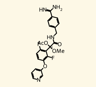 CO[C@@](OC(C)=O)(C(=O)NCc1ccc(C(=N)N)cc1)c1c(F)ccc(Oc2cccnc2)c1F